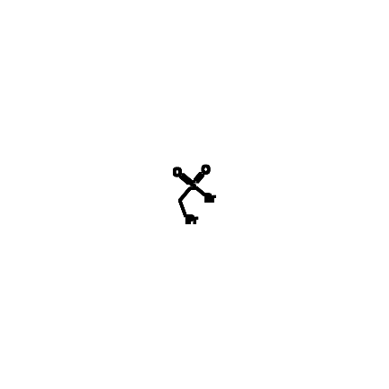 CC(C)CS(=O)(=O)Br